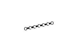 O=C=C=C=C=C=O